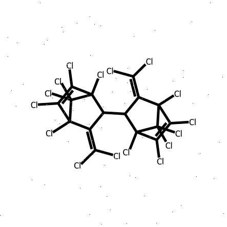 ClC(Cl)=C1C(C2C(=C(Cl)Cl)C3(Cl)C(Cl)=C(Cl)C2(Cl)C3(Cl)Cl)C2(Cl)C(Cl)=C(Cl)C1(Cl)C2(Cl)Cl